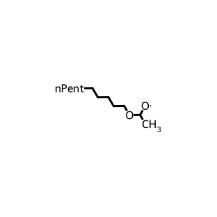 CCCCCCCCCCOC(C)[O]